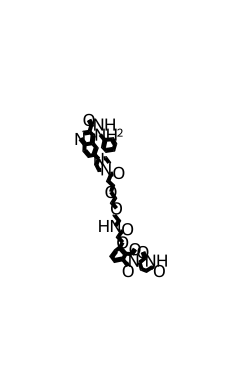 NC(=O)c1cnc2ccc(N3CCN(C(=O)CCOCCOCCNC(=O)COc4cccc5c4C(=O)N(C4CCC(=O)NC4=O)C5=O)CC3)cc2c1Nc1ccccc1